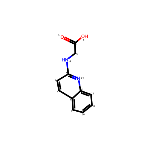 O=C(O)CNc1ccc2ccccc2n1